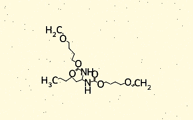 C=COCCCCOC(=O)NC(CCCCC)NC(=O)OCCCCOC=C